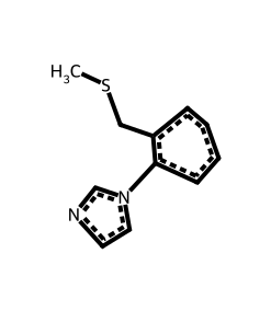 CSCc1ccccc1-n1ccnc1